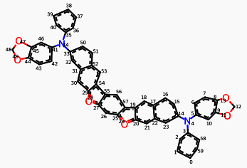 c1ccc(N(c2ccc3c(c2)OCO3)c2ccc3cc4c(cc3c2)oc2cc3oc5cc6cc(N(c7ccccc7)c7ccc8c(c7)OCO8)ccc6cc5c3cc24)cc1